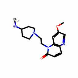 BNC1CCN(CCn2c(=O)ccc3ncc(OC)cc32)CC1